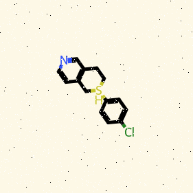 Clc1ccc([SH]2CCc3cnccc3C2)cc1